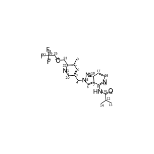 Cc1cc(Cn2cc3c(NC(=O)C(C)C)nccc3n2)cnc1COCC(F)(F)F